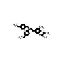 CCc1ccc(CN(CCc2ccc(OC(C)C(=O)O)c(C)c2)c2ncc(CC)cn2)cc1